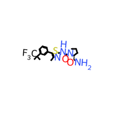 Cc1nc(NC(=O)N2CCC[C@H]2C(N)=O)sc1-c1cccc(C(C)(C)C(F)(F)F)c1